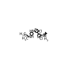 COC[C@@H](C)N[C@H]1CC[C@H](Nc2cc(-c3cnc(Cl)c(NCC4(C)CC4)c3)c(Cl)cn2)CC1